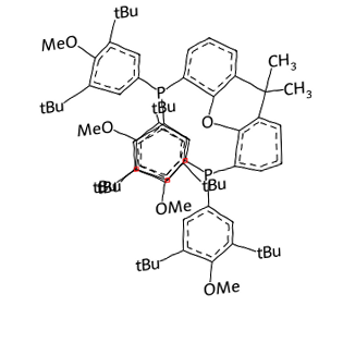 COc1c(C(C)(C)C)cc(P(c2cc(C(C)(C)C)c(OC)c(C(C)(C)C)c2)c2cccc3c2Oc2c(P(c4cc(C(C)(C)C)c(OC)c(C(C)(C)C)c4)c4cc(C(C)(C)C)c(OC)c(C(C)(C)C)c4)cccc2C3(C)C)cc1C(C)(C)C